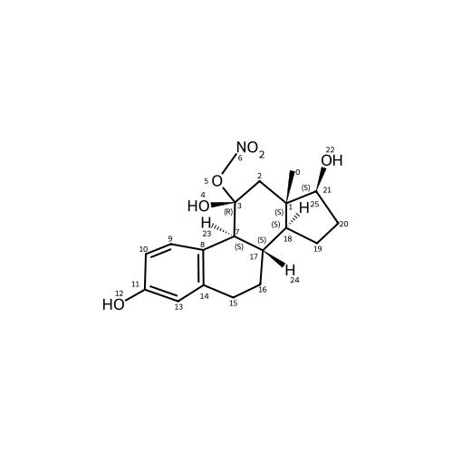 C[C@]12C[C@@](O)(O[N+](=O)[O-])[C@@H]3c4ccc(O)cc4CC[C@H]3[C@@H]1CC[C@@H]2O